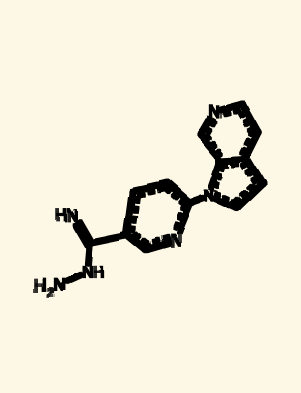 N=C(NN)c1ccc(-n2ccc3ccncc32)nc1